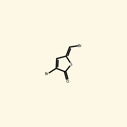 O=C1S/C(=C\Br)C=C1Br